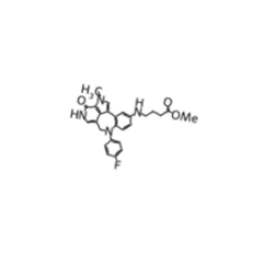 COC(=O)CCCNc1ccc2c(c1)-c1cn(C)c3c(=O)[nH]cc(c13)CN2c1ccc(F)cc1